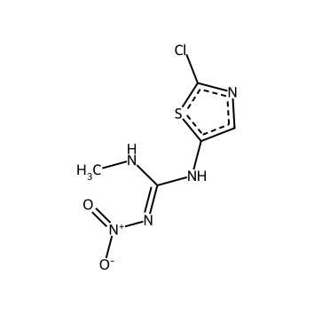 CN/C(=N\[N+](=O)[O-])Nc1cnc(Cl)s1